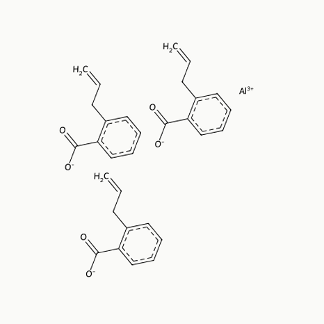 C=CCc1ccccc1C(=O)[O-].C=CCc1ccccc1C(=O)[O-].C=CCc1ccccc1C(=O)[O-].[Al+3]